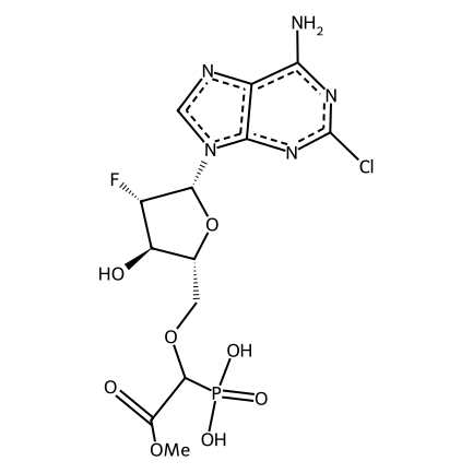 COC(=O)C(OC[C@H]1O[C@@H](n2cnc3c(N)nc(Cl)nc32)[C@@H](F)[C@@H]1O)P(=O)(O)O